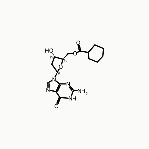 Nc1nc2c(ncn2[C@H]2C[C@H](O)[C@@H](COC(=O)C3CCCCC3)O2)c(=O)[nH]1